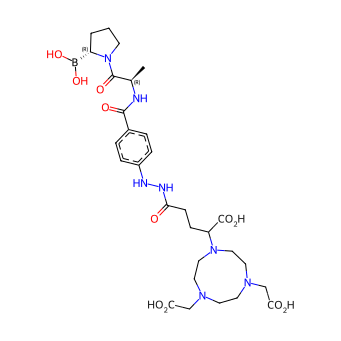 C[C@@H](NC(=O)c1ccc(NNC(=O)CCC(C(=O)O)N2CCN(CC(=O)O)CCN(CC(=O)O)CC2)cc1)C(=O)N1CCC[C@H]1B(O)O